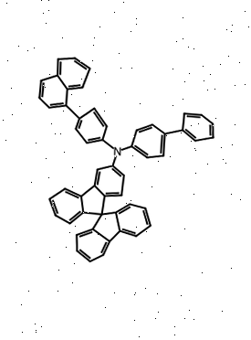 c1ccc(-c2ccc(N(c3ccc(-c4cccc5ccccc45)cc3)c3ccc4c(c3)-c3ccccc3C43c4ccccc4-c4ccccc43)cc2)cc1